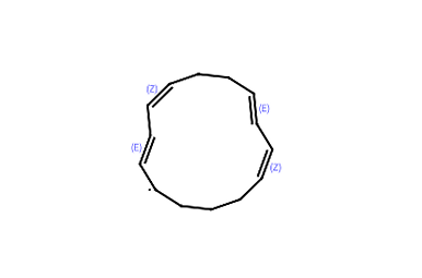 [CH]1/C=C/C=C\CC/C=C/C=C\CCC1